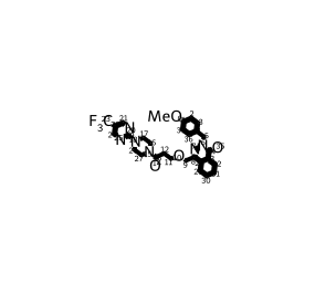 COc1ccc(Cn2nc(COCCC(=O)N3CCN(c4ncc(C(F)(F)F)cn4)CC3)c3ccccc3c2=O)cc1